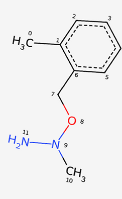 Cc1ccccc1CON(C)N